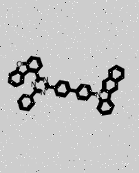 C1=CCC(c2nc(-c3ccc(-c4ccc(-n5c6ccccc6c6cc7ccccc7cc65)cc4)cc3)nc(-c3cccc4oc5ccccc5c34)n2)C=C1